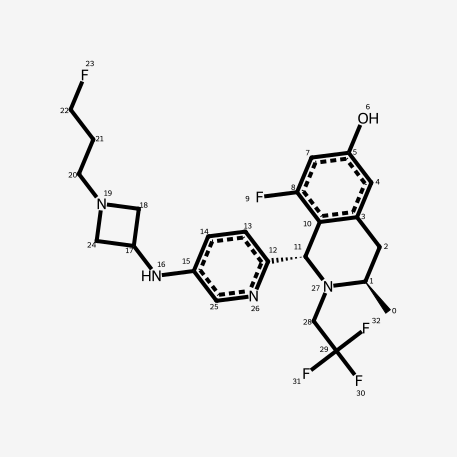 C[C@@H]1Cc2cc(O)cc(F)c2[C@@H](c2ccc(NC3CN(CCCF)C3)cn2)N1CC(F)(F)F